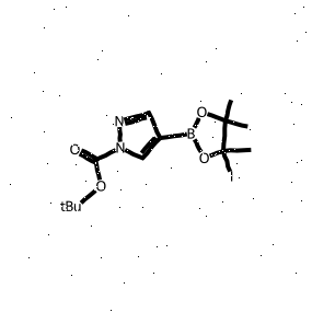 CC(C)(C)OC(=O)n1cc(B2OC(C)(C)C(C)(I)O2)cn1